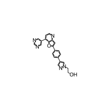 OCCn1cc(-c2ccc(-c3cc4nccc(-c5cncnc5)c4o3)cc2)cn1